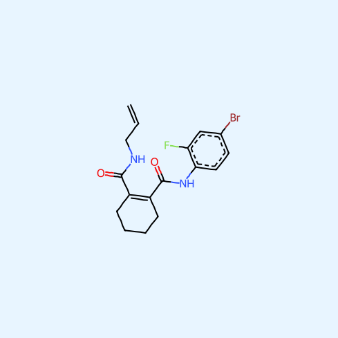 C=CCNC(=O)C1=C(C(=O)Nc2ccc(Br)cc2F)CCCC1